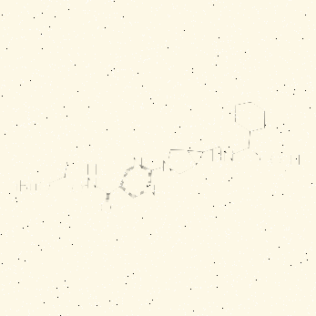 CC(C)COC(C)ONC(=O)c1cnc(N2CC3C(CN[C@H](C(=O)O)C4CCCCC4)C3C2)nc1